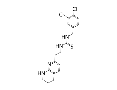 S=C(NCCc1ccc2c(n1)NCCC2)NCc1ccc(Cl)c(Cl)c1